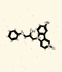 [O-][n+]1ccc2c(c1)c1cc(Br)ccc1n2CC(O)COc1ccccc1